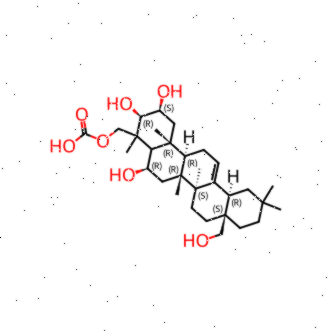 CC1(C)CC[C@]2(CO)CC[C@]3(C)C(=CC[C@@H]4[C@@]5(C)C[C@H](O)[C@H](O)C(C)(COC(=O)O)C5[C@H](O)C[C@]43C)[C@H]2C1